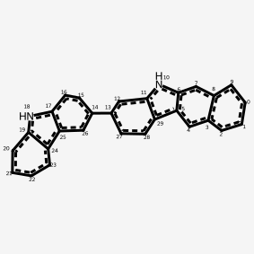 c1ccc2cc3c(cc2c1)[nH]c1cc(-c2ccc4[nH]c5ccccc5c4c2)ccc13